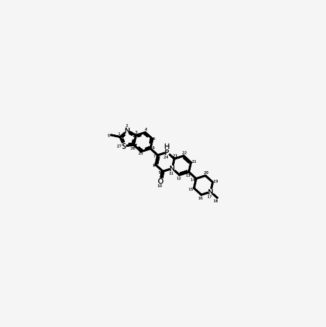 Cc1nc2ccc(C3=CC(=O)N4C=C(C5CCN(C)CC5)C=CC4P3)cc2s1